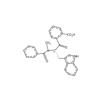 CN(C(=O)c1ccccc1)[C@@H](Cc1c[nH]c2ccccc12)C(=O)c1ccccc1C(=O)O